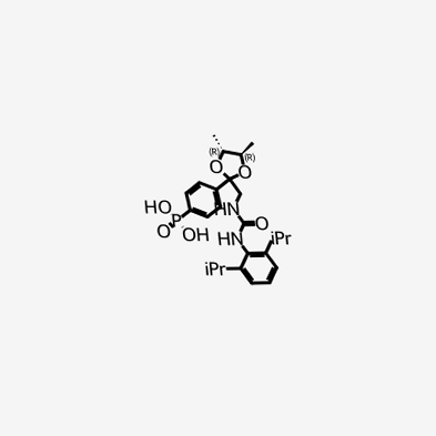 CC(C)c1cccc(C(C)C)c1NC(=O)NCC1(c2ccc(P(=O)(O)O)cc2)O[C@H](C)[C@@H](C)O1